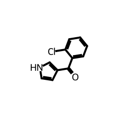 O=C(c1cc[nH]c1)c1ccccc1Cl